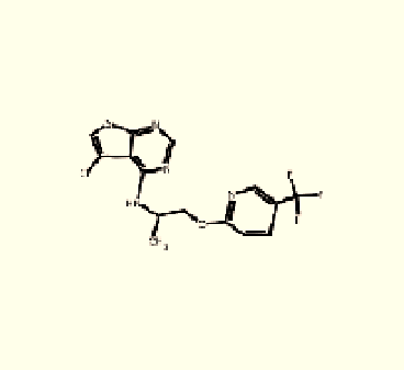 CC(COc1ccc(C(F)(F)F)cn1)Nc1ncnc2scc(Cl)c12